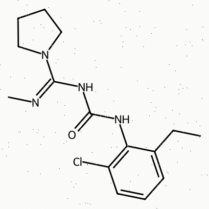 CCc1cccc(Cl)c1NC(=O)NC(=NC)N1CCCC1